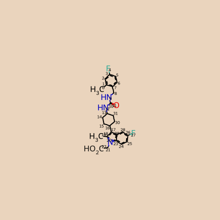 Cc1cc(F)ccc1CNC(=O)NC1CCC(c2c(C)n(CC(=O)O)c3ccc(F)cc23)CC1